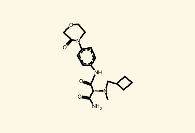 CN(CC1CCC1)[C@@H](C(N)=O)C(=O)Nc1ccc(N2CCOCC2=O)cc1